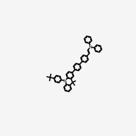 CC(C)(C)c1ccc(N2c3ccccc3C(C)(C)c3cc(-c4ccc(-c5ccc(/C=C/N(c6ccccc6)c6ccccc6)cc5)cc4)ccc32)cc1